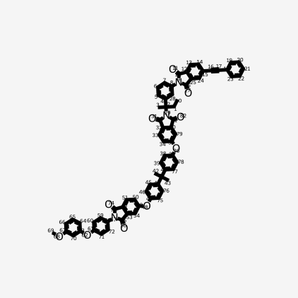 CCC(C)(c1cccc(N2C(=O)c3ccc(C#Cc4ccccc4)cc3C2=O)c1)N1C(=O)c2ccc(Oc3ccc(C(C)(C)c4ccc(Oc5ccc6c(c5)C(=O)N(c5ccc(Oc7cccc(OC)c7)cc5)C6=O)cc4)cc3)cc2C1=O